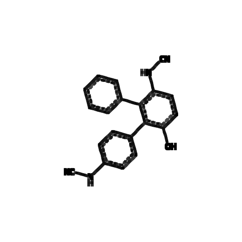 N#CNc1ccc(-c2c(O)ccc(NC#N)c2-c2ccccc2)cc1